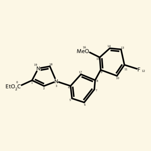 CCOC(=O)c1cn(-c2cccc(-c3cc(F)ccc3OC)c2)cn1